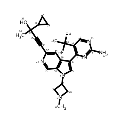 CN1CC(n2cc(-c3nc(N)ncc3C(F)(F)F)c3cc(C#CC(C)(O)C4CC4)ncc32)C1